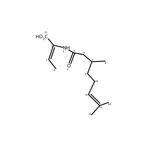 CC=C(NC(=O)CC(C)CCC=C(C)C)C(=O)O